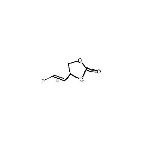 O=C1OCC(/C=C/F)O1